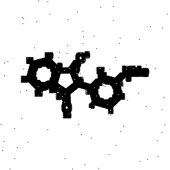 CNc1cccc(C2C(=O)c3ccccc3C2=O)n1